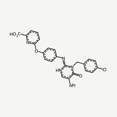 CCCc1c[nH]/c(=N\c2ccc(Oc3cccc(C(=O)O)n3)cc2)n(Cc2ccc(Cl)cc2)c1=O